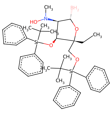 B[C@@H]1O[C@](CC)(CO[Si](c2ccccc2)(c2ccccc2)C(C)(C)C)[C@@H](O[Si](c2ccccc2)(c2ccccc2)C(C)(C)C)[C@H]1N(C)O